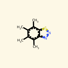 Cc1c(C)c(C)c2snnc2c1C